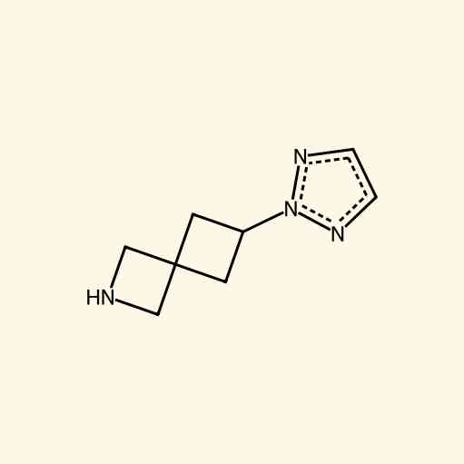 c1cnn(C2CC3(CNC3)C2)n1